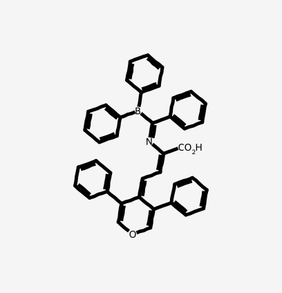 O=C(O)C(=CC=C1C(c2ccccc2)=COC=C1c1ccccc1)N=C(B(c1ccccc1)c1ccccc1)c1ccccc1